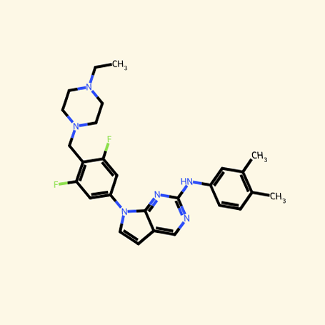 CCN1CCN(Cc2c(F)cc(-n3ccc4cnc(Nc5ccc(C)c(C)c5)nc43)cc2F)CC1